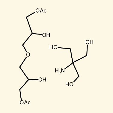 CC(=O)OCC(O)COCC(O)COC(C)=O.NC(CO)(CO)CO